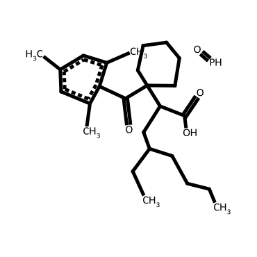 CCCCC(CC)CC(C(=O)O)C1(C(=O)c2c(C)cc(C)cc2C)CCCCC1.O=P